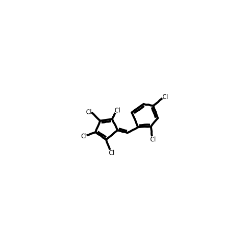 ClC1=C(Cl)C(Cl)=C(Cl)C1=Cc1ccc(Cl)cc1Cl